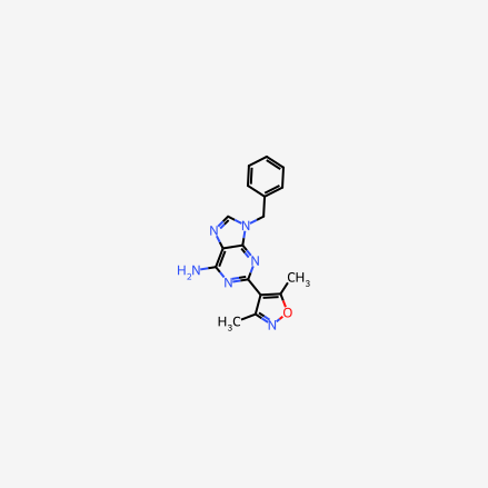 Cc1noc(C)c1-c1nc(N)c2ncn(Cc3ccccc3)c2n1